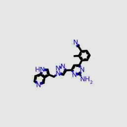 Cc1c(C#N)cccc1-c1cc(-c2cn(Cc3c[nH]c4ccncc34)nn2)nc(N)n1